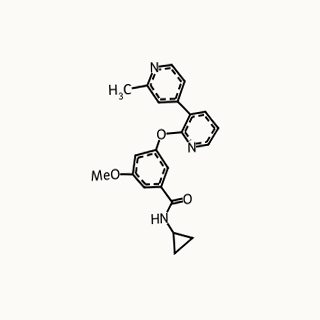 COc1cc(Oc2ncccc2-c2ccnc(C)c2)cc(C(=O)NC2CC2)c1